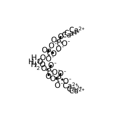 O.O.O.O=P([O-])([O-])[O-].O=P([O-])([O-])[O-].O=P([O-])([O-])[O-].O=P([O-])([O-])[O-].[Ca+2].[Ca+2].[Ca+2].[Ca+2].[Ca+2].[Ca+2]